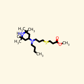 CCCCN(CCCSCCC(=O)OC)C1CC(C)(C)NC(C)(C)C1